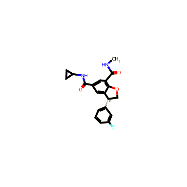 CNC(=O)c1cc(C(=O)NC2CC2)cc2c1OC[C@@H]2c1cccc(F)c1